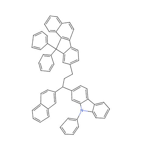 c1ccc(-n2c3ccccc3c3ccc(C(CCc4ccc5c(c4)C(c4ccccc4)(c4ccccc4)c4c-5ccc5ccccc45)c4ccc5ccccc5c4)cc32)cc1